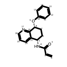 C=CC(=O)N[C@H]1CC[C@@H](Oc2ccccc2)c2ncccc21